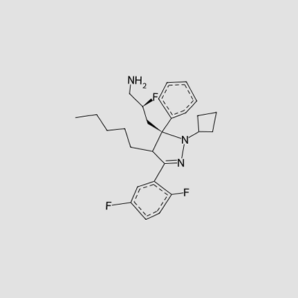 CCCCCC1C(c2cc(F)ccc2F)=NN(C2CCC2)[C@@]1(C[C@H](F)CN)c1ccccc1